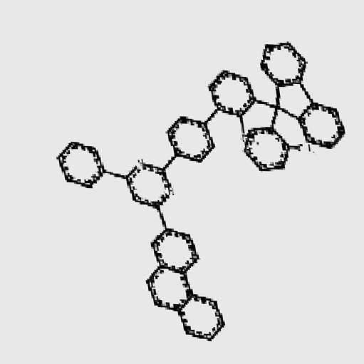 Cc1ccccc1C1(c2cccc(-c3ccc(-c4nc(-c5ccccc5)cc(-c5ccc6c(ccc7ccccc76)c5)n4)cc3)c2C)c2ccccc2-c2ccccc21